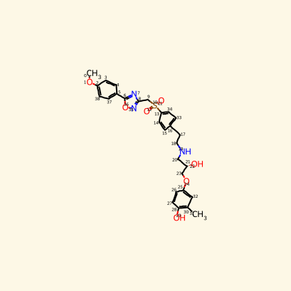 COc1ccc(-c2nc(CS(=O)(=O)c3ccc(CCNC[C@H](O)COc4ccc(O)c(C)c4)cc3)no2)cc1